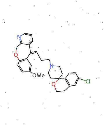 COc1ccc2c(c1)C(=CCCN1CCC3(CC1)OCCc1cc(Cl)ccc13)c1cccnc1CO2